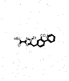 CCCCC(=O)c1nc(Cc2ccc(-c3ccccc3)c(C(=O)O)c2)n(CC)n1